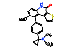 COc1ccc2[nH]c(=O)c3sccc3c2c1-c1ccc(C2(N(C)C(=O)O)CC2)cc1